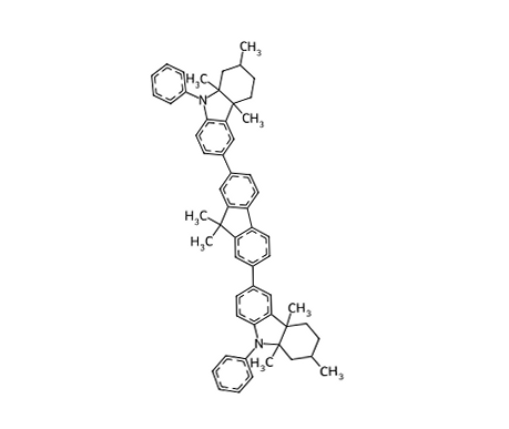 CC1CCC2(C)c3cc(-c4ccc5c(c4)C(C)(C)c4cc(-c6ccc7c(c6)C6(C)CCC(C)CC6(C)N7c6ccccc6)ccc4-5)ccc3N(c3ccccc3)C2(C)C1